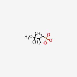 CC(C)(C)C1COS(=O)(=O)C1